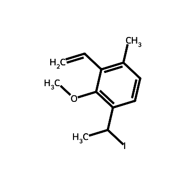 C=Cc1c(C)ccc(C(C)I)c1OC